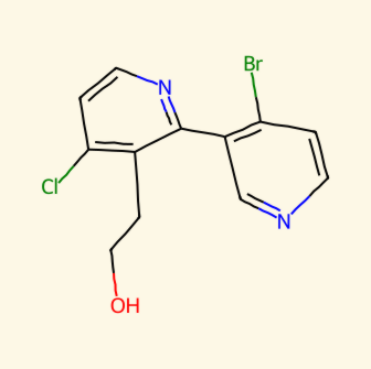 OCCc1c(Cl)ccnc1-c1cnccc1Br